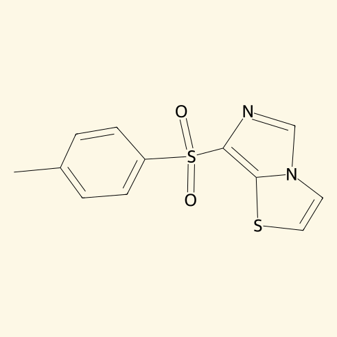 Cc1ccc(S(=O)(=O)c2ncn3ccsc23)cc1